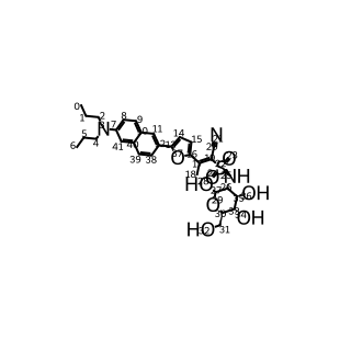 CCCN(CCC)c1ccc2cc(-c3ccc(/C(C)=C(\C#N)S(=O)(=O)N[C@H]4C(O)O[C@H](CO)[C@@H](O)[C@@H]4O)o3)ccc2c1